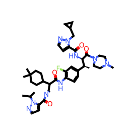 CC(C)n1nccc1C(=O)/N=C/C(C(=O)Nc1ccc([C@H](C)[C@@H](NC(=O)c2ccnn2CC2CC2)C(=O)N2CCN(C)CC2)cc1F)C1CCC(C)(C)CC1